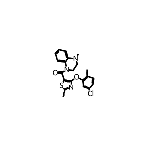 Cc1nc(Oc2cc(Cl)ccc2C)c(C(=O)N2CCN(C)c3ccccc32)s1